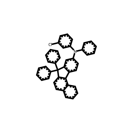 Clc1cccc(N(c2ccccc2)c2ccc3c(c2)C(c2ccccc2)(c2ccccc2)c2ccc4ccccc4c2-3)c1